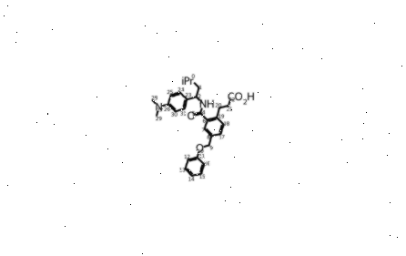 CC(C)CC(NC(=O)c1cc(COc2ccccc2)ccc1CCC(=O)O)c1ccc(N(C)C)cc1